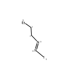 CCCC/N=N/I